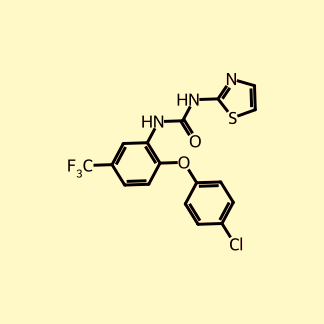 O=C(Nc1nccs1)Nc1cc(C(F)(F)F)ccc1Oc1ccc(Cl)cc1